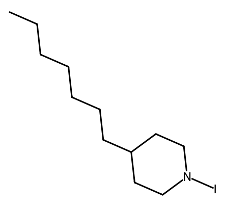 CCCCCCCC1CCN(I)CC1